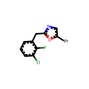 CC(C)c1cnc(Cc2cccc(Cl)c2F)o1